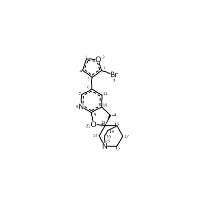 Brc1occc1-c1cnc2c(c1)C[C@@]1(CN3CCC1CC3)O2